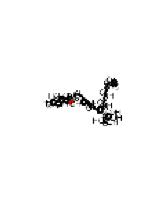 C[C@]12C=CC(=O)C=C1CC[C@@H]1[C@@H]2[C@@H](O)C[C@@]2(C)[C@H]1C[C@H]1O[C@H](c3cnc(Cc4cccc(NC(=O)OCc5ccc(O[C@@H]6O[C@H](C(=O)O)[C@@H](O)[C@H](O)[C@H]6O)c(NC(=O)CCNC(=O)CCC(=O)ON6C(=O)CCC6=O)c5)c4)s3)O[C@]12C(=O)CO